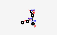 COc1ccc2nc([C@H](Cc3ccc(C4CC(=O)NS4(=O)=O)cc3)NS(=O)(=O)c3cccc(Oc4ccccc4)c3)[nH]c2c1